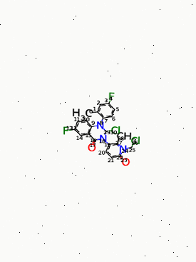 Cc1cc(F)ccc1N1c2ccc(F)cc2C(=O)N(c2ccc(=O)n(CCl)c2C)C1Cl